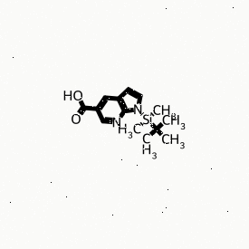 CC(C)(C)[Si](C)(C)n1ccc2cc(C(=O)O)cnc21